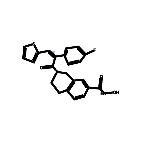 O=C(NO)c1ccc2c(c1)CN(C(=O)/C(=C\c1cccs1)c1ccc(F)cc1)CC2